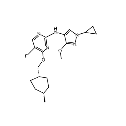 COc1nn(C2CC2)cc1Nc1ncc(F)c(OC[C@H]2CC[C@H](C)CC2)n1